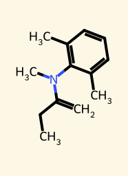 C=C(CC)N(C)c1c(C)cccc1C